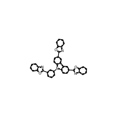 c1cc(-c2nc3ccccc3o2)cc(-n2c3ccc(-c4nc5ccccc5o4)cc3c3cc(-c4nc5ccccc5o4)ccc32)c1